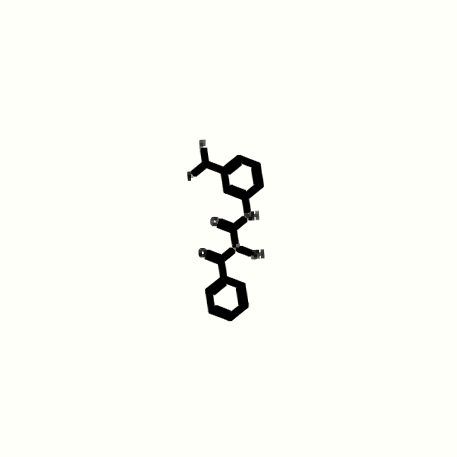 O=C(Nc1cccc(C(F)F)c1)N(S)C(=O)c1ccccc1